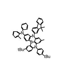 Cc1cc2c3c(c1)N(c1ccc4c(c1)C(C)(C)c1ccccc1-4)c1cc(N(c4ccccc4)c4ccccc4C)ccc1B3c1cc(C(C)(C)C)ccc1N2c1ccc(C(C)(C)C)cc1